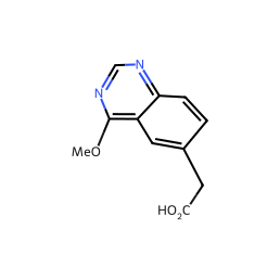 COc1ncnc2ccc(CC(=O)O)cc12